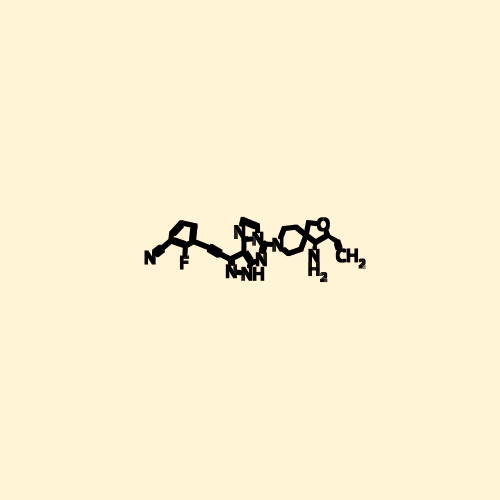 C=C[C@@H]1OCC2(CCN(c3nc4[nH]nc(C#Cc5cccc(C#N)c5F)c4c4nccn34)CC2)[C@@H]1N